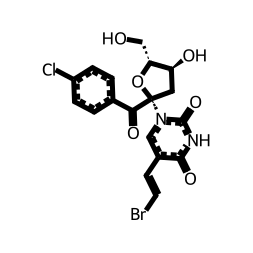 O=C(c1ccc(Cl)cc1)[C@]1(n2cc(C=CBr)c(=O)[nH]c2=O)C[C@H](O)[C@@H](CO)O1